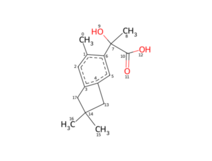 Cc1cc2c(cc1C(C)(O)C(=O)O)CC(C)(C)C2